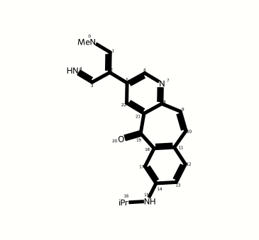 CN/C=C(\C=N)c1cnc2ccc3ccc(NC(C)C)cc3c(=O)c2c1